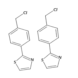 ClCc1ccc(-c2nccs2)cc1.ClCc1ccc(-c2nccs2)cc1